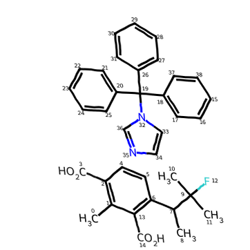 Cc1c(C(=O)O)ccc(C(C)C(C)(C)F)c1C(=O)O.c1ccc(C(c2ccccc2)(c2ccccc2)n2ccnc2)cc1